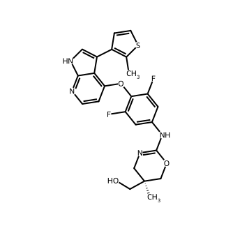 Cc1sccc1-c1c[nH]c2nccc(Oc3c(F)cc(NC4=NC[C@](C)(CO)CO4)cc3F)c12